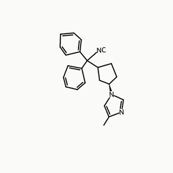 [C-]#[N+]C(c1ccccc1)(c1ccccc1)C1CC[C@@H](n2cnc(C)c2)C1